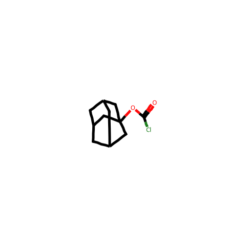 O=C(Cl)OC12CC3CC(CC(C3)C1)C2